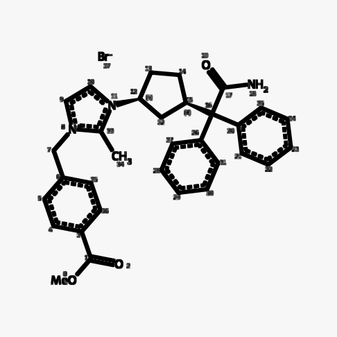 COC(=O)c1ccc(C[n+]2ccn([C@H]3CC[C@@H](C(C(N)=O)(c4ccccc4)c4ccccc4)C3)c2C)cc1.[Br-]